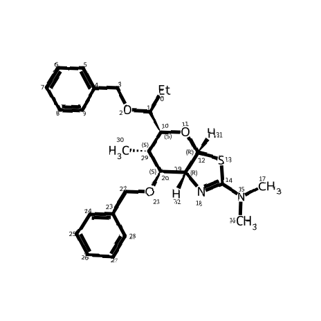 CCC(OCc1ccccc1)[C@H]1O[C@@H]2SC(N(C)C)=N[C@@H]2[C@@H](OCc2ccccc2)[C@@H]1C